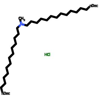 CCCCCCCCCCCCCCCCCCCCCCCN(C)CCCCCCCCCCCCCCCCCCCCCCC.Cl